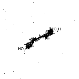 C[C@@H]1COc2c(N3CCN(C(=N)NC(=N)NCCCCCCNC(=N)NC(=N)N4CCN(c5c(F)cc6c(=O)c(C(=O)O)cn7c6c5OC[C@@H]7C)CC4)CC3)c(F)cc3c(=O)c(C(=O)O)cn1c23